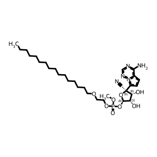 CCCCCCCCCCCCCCCCOCCOP(=O)(OC)O[C@H]1O[C@@](C#N)(c2ccc3c(N)ncnn23)[C@H](O)[C@@H]1O